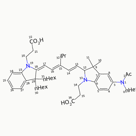 CCCCCCN(C(C)=O)c1ccc2c(c1)C(C)(C)C(/C=C/C(=C/C=C1/N(CCC(=O)O)c3ccccc3C1(CCCCCC)CCCCCC)C(C)C)N2CCC(=O)O